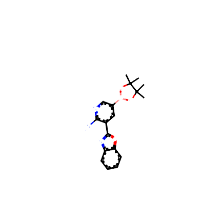 CC1(C)OB(c2cnc(N)c(-c3nc4ccccc4o3)c2)OC1(C)C